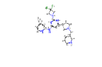 FC1(F)CN(c2nc(Nc3cc(C(F)(F)F)ccn3)cc(C3CCN(Cc4cccnc4)C3)n2)C1